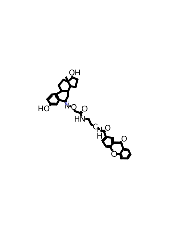 CC12CCC3c4ccc(O)cc4/C(=N/OCC(=O)NCCCNC(=O)c4ccc5oc6ccccc6c(=O)c5c4)CC3C1CCC2O